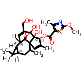 COc1nc(C)c(C(=O)O[C@H]2C(C)=CC34C(=O)[C@@H](C=C(CO)[C@@H](O)[C@]23O)[C@H]2[C@@H](CC4C)C2(C)C)s1